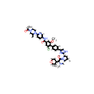 CC1CN(C(=O)C(C)(C)C)CCN1c1ccc(NC(=O)c2cc(Cl)c(-c3ccc(-c4c[nH]c([C@@H]5C[C@H](C)CN5C(=O)[C@H](C5CCOCC5)N(C)C(=O)O)n4)cc3)c(OC(F)(F)F)c2)cn1